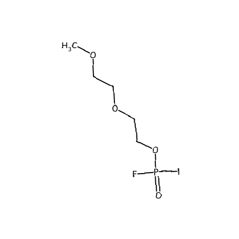 COCCOCCOP(=O)(F)I